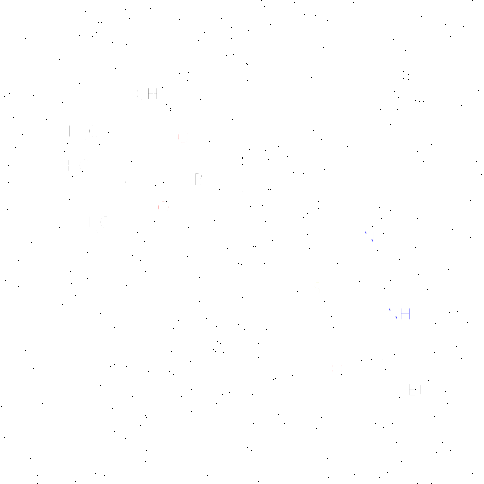 CCC(=O)Nc1nc2ccc(B3OC(C)(C)C(C)(C)O3)cc2s1